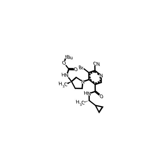 C[C@H](NC(=O)c1cnc(C#N)c(Br)c1N1CC[C@](C)(NC(=O)OC(C)(C)C)C1)C1CC1